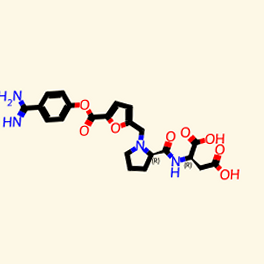 N=C(N)c1ccc(OC(=O)c2ccc(CN3CCC[C@@H]3C(=O)N[C@H](CC(=O)O)C(=O)O)o2)cc1